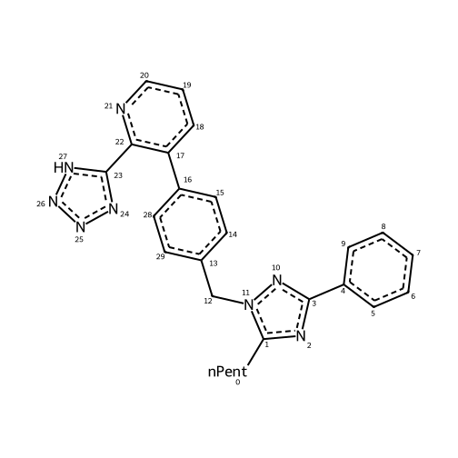 CCCCCc1nc(-c2ccccc2)nn1Cc1ccc(-c2cccnc2-c2nnn[nH]2)cc1